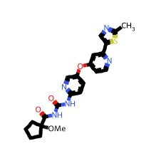 COC1(C(=O)NC(=O)Nc2ccc(Oc3ccnc(-c4cnc(C)s4)c3)cn2)CCCC1